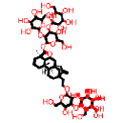 C=C1C[C@@]23CCC4[C@](C)(C(=O)OC5OC(CO)C(O)C(OC6OC(CO)C(O)C(O)C6O)C5OC5OC(CO)C(O)C(O)C5O)CCC[C@@]4(C)[C@@H]2CCC1(CCOC1OC(CO)C(O)C(OC2OC(CO)C(O)C(O)C2O)C1OC1OC(CO)C(O)C(O)C1O)C3